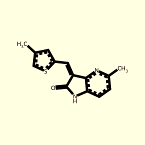 Cc1csc(C=C2C(=O)Nc3ccc(C)nc32)c1